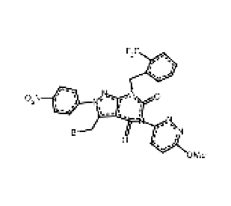 COc1ccc(-n2c(=O)c3c(CBr)n(-c4ccc([N+](=O)[O-])cc4)nc3n(Cc3ccccc3C(F)(F)F)c2=O)nn1